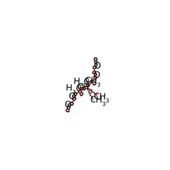 CCCCCCCCC1(CCCCCCCC)c2cc3c(cc2-c2cc4c(cc21)-c1c(cc(-c2ccc5oc6cc(-c7ccc8c(c7)oc7cc9ccccc9cc78)ccc6c5c2)c2ccccc12)C4(C)C)C(C)(C)c1cc(-c2ccc4oc5cc(-c6ccc7c(c6)oc6cc8ccccc8cc67)ccc5c4c2)c2ccccc2c1-3